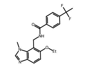 CCOc1ccc2ncn(C)c2c1CNC(=O)c1ccc(C(C)(F)F)cc1